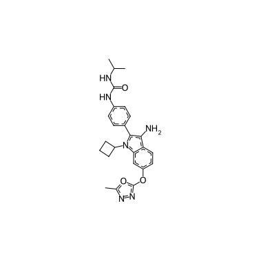 Cc1nnc(Oc2ccc3c(N)c(-c4ccc(NC(=O)NC(C)C)cc4)n(C4CCC4)c3c2)o1